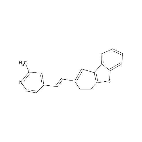 Cc1cc(/C=C/C2=Cc3c(sc4ccccc34)CC2)ccn1